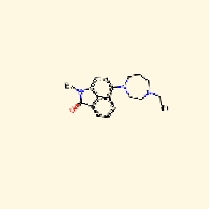 CCN1C(=O)c2cccc3c(N4CCCN(CC(C)C)CC4)ccc1c23